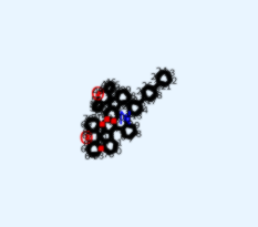 C1=CC2c3c(-c4ccccc4N(c4ccc(-c5ccc(-c6ccccc6)cc5)cc4)c4cccc5c4-c4ccccc4C54c5ccccc5Oc5ccccc54)cccc3C3(c4ccccc4Oc4ccccc43)C2C=C1